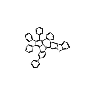 c1ccc(-c2ccc3c(c2)c2c(-c4ccccc4)c(-c4ccccc4)c(-c4ccccc4)c(-c4ccccc4)c2n3-c2ccc3c(c2)sc2ccccc23)cc1